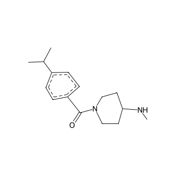 CNC1CCN(C(=O)c2ccc(C(C)C)cc2)CC1